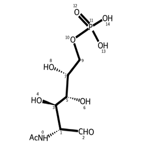 CC(=O)N[C@@H](C=O)[C@@H](O)[C@@H](O)[C@H](O)COP(=O)(O)O